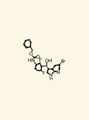 O=C(Nc1ccc(F)c(C(O)c2c[nH]c3ncc(Br)cc23)c1F)OCc1ccccc1